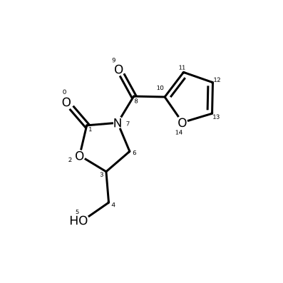 O=C1OC(CO)CN1C(=O)c1ccco1